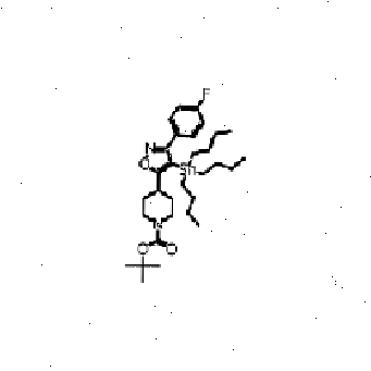 CCC[CH2][Sn]([CH2]CCC)([CH2]CCC)[c]1c(-c2ccc(F)cc2)noc1C1CCN(C(=O)OC(C)(C)C)CC1